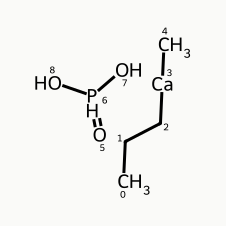 CC[CH2][Ca][CH3].O=[PH](O)O